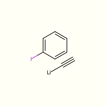 Ic1ccccc1.[Li][C]#C